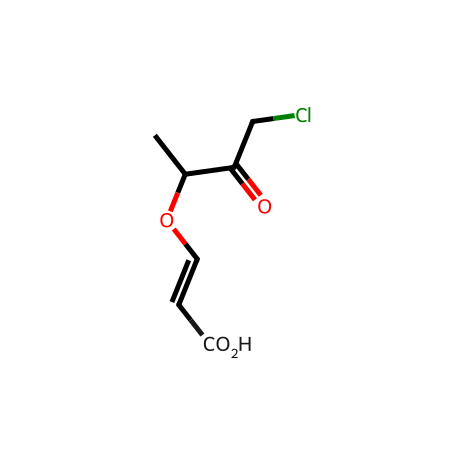 CC(OC=CC(=O)O)C(=O)CCl